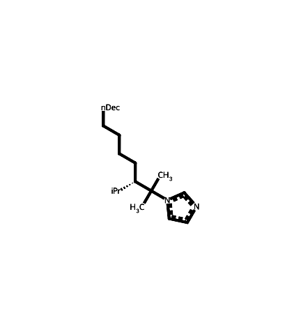 CCCCCCCCCCCCCC[C@@H](C(C)C)C(C)(C)n1ccnc1